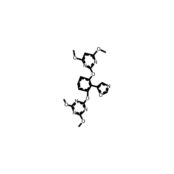 COc1cc(OC)nc(Oc2cccc(Oc3nc(OC)nc(OC)n3)c2-c2cnco2)n1